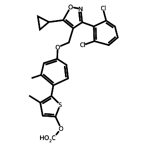 Cc1cc(OCc2c(-c3c(Cl)cccc3Cl)noc2C2CC2)ccc1-c1sc(OC(=O)O)cc1C